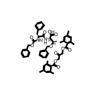 C[C@@H](OCc1ccccc1)[C@H](NC(=O)[C@H](Cc1ccccc1)NC(=O)OCc1ccccc1)C(=O)O.Cc1cc(C)c(C(=O)OCC(=O)COC(=O)c2c(C)cc(C)cc2C)c(C)c1